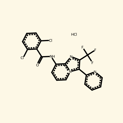 Cl.O=C(Nc1cccn2c(-c3ccccn3)c(C(F)(F)F)nc12)c1c(Cl)cccc1Cl